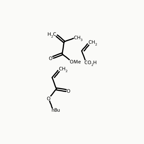 C=C(C)C(=O)OC.C=CC(=O)O.C=CC(=O)OCCCC